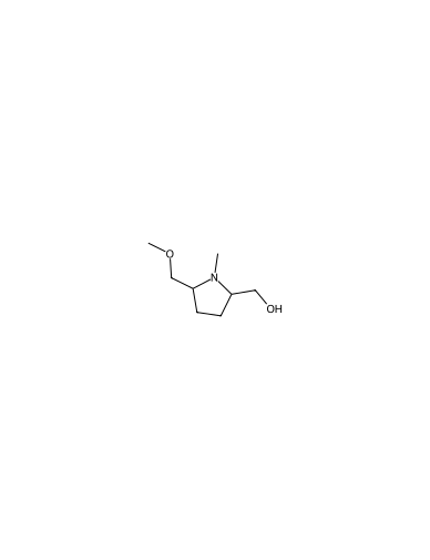 COCC1CCC(CO)N1C